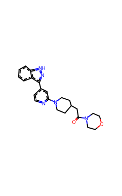 O=C(CC1CCN(c2cc(-c3n[nH]c4ccccc34)ccn2)CC1)N1CCOCC1